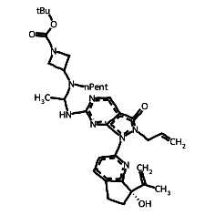 C=CCn1c(=O)c2cnc(NC(C)N(CCCCC)C3CN(C(=O)OC(C)(C)C)C3)nc2n1-c1ccc2c(n1)[C@@](O)(C(=C)C)CC2